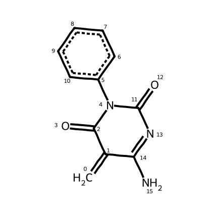 C=C1C(=O)N(c2ccccc2)C(=O)N=C1N